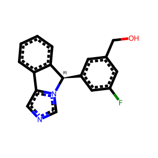 OCc1cc(F)cc([C@@H]2c3ccccc3-c3cncn32)c1